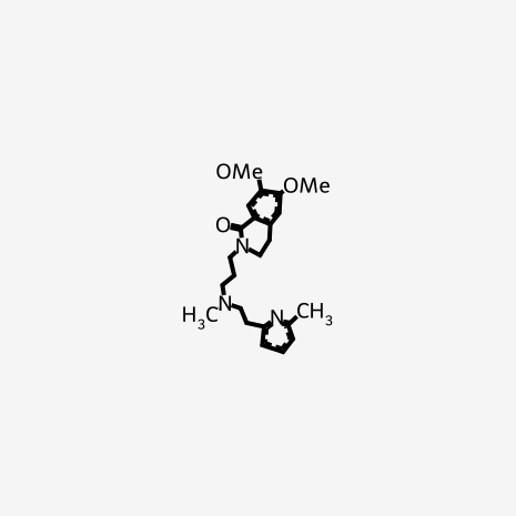 COc1cc2c(cc1OC)C(=O)N(CCCN(C)CCc1cccc(C)n1)CC2